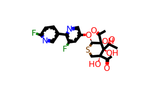 CC(=O)[C@]1(O)[C@@](O)(C(C)=O)CS[C@H](Oc2cnc(-c3ccc(F)nc3)c(F)c2)[C@@]1(O)C(C)=O